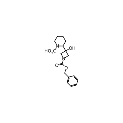 O=C(OCc1ccccc1)N1CC(O)(C2CCCCN2C(=O)O)C1